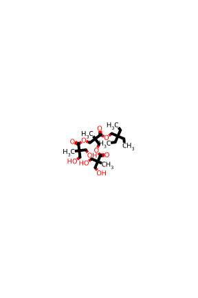 CCC(CC)(CC)COC(=O)C(C)(COC(=O)C(C)(CO)CO)COC(=O)C(C)(CO)CO